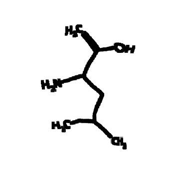 C=C(O)C(N)CC(C)C